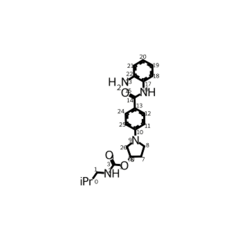 CC(C)CNC(=O)O[C@H]1CCN(c2ccc(C(=O)Nc3ccccc3N)cc2)C1